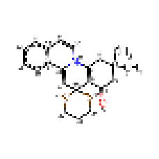 CC1(C)CC(=O)C2=C(C1)N1C=Cc3ccccc3C1=CC21SCCCS1